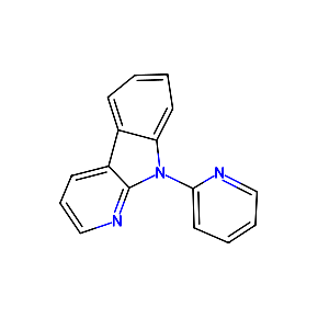 c1ccc(-n2c3ccccc3c3cccnc32)nc1